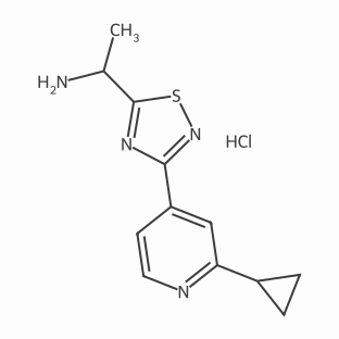 CC(N)c1nc(-c2ccnc(C3CC3)c2)ns1.Cl